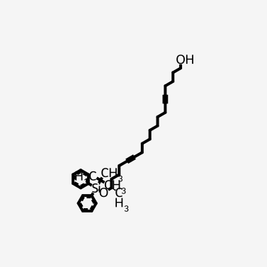 C[C@@H](CCCC#CCCCCCCCC#CCCCCO)O[Si](c1ccccc1)(c1ccccc1)C(C)(C)C